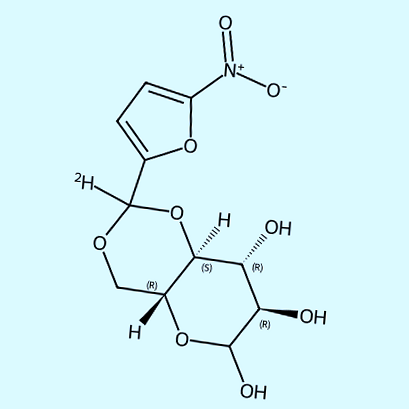 [2H]C1(c2ccc([N+](=O)[O-])o2)OC[C@H]2OC(O)[C@H](O)[C@@H](O)[C@@H]2O1